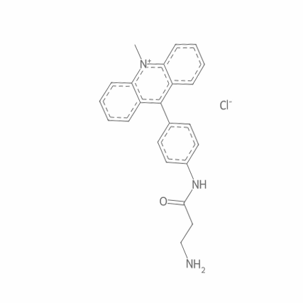 C[n+]1c2ccccc2c(-c2ccc(NC(=O)CCN)cc2)c2ccccc21.[Cl-]